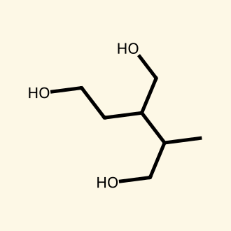 CC(CO)C(CO)CCO